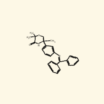 CC1(C)OCC(C)(c2cccc(N=C(c3ccccc3)c3ccccc3)c2)NC1=O